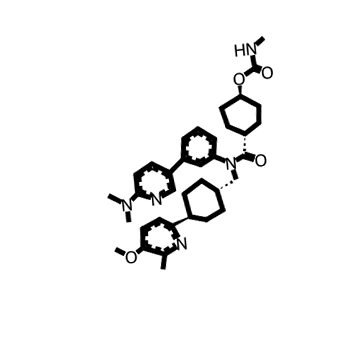 CNC(=O)O[C@H]1CC[C@H](C(=O)N(C[C@H]2CC[C@H](c3ccc(OC)c(C)n3)CC2)c2cccc(-c3ccc(N(C)C)nc3)c2)CC1